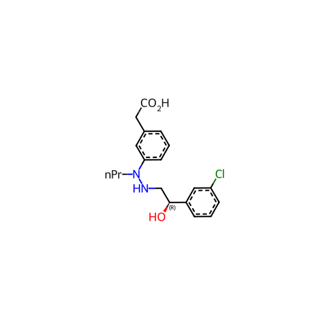 CCCN(NC[C@H](O)c1cccc(Cl)c1)c1cccc(CC(=O)O)c1